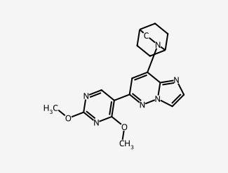 COc1ncc(-c2cc(N3CC4CCC3CC4)c3nccn3n2)c(OC)n1